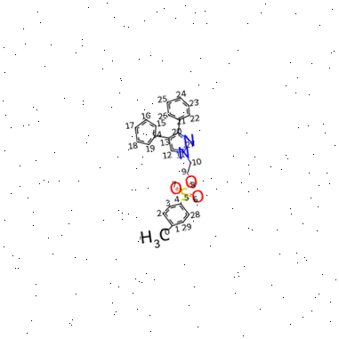 Cc1ccc(S(=O)(=O)OCCn2cc(-c3ccccc3)c(-c3ccccc3)n2)cc1